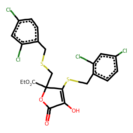 CCOC(=O)C1(CSCc2ccc(Cl)cc2Cl)OC(=O)C(O)=C1SCc1ccc(Cl)cc1Cl